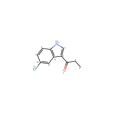 CCC(=O)c1c[nH]c2ccc(Cl)cc12